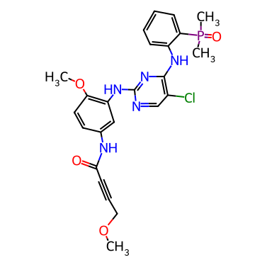 COCC#CC(=O)Nc1ccc(OC)c(Nc2ncc(Cl)c(Nc3ccccc3P(C)(C)=O)n2)c1